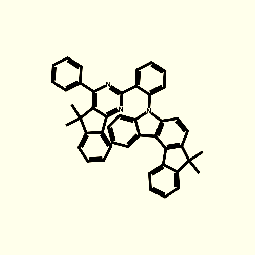 CC1(C)c2ccccc2-c2c1ccc1c2c2ccccc2n1-c1ccccc1-c1nc(-c2ccccc2)c2c(n1)-c1ccccc1C2(C)C